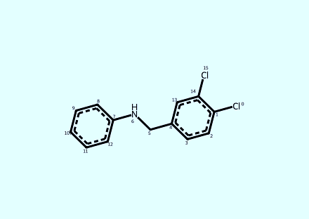 Clc1ccc(CNc2cc[c]cc2)cc1Cl